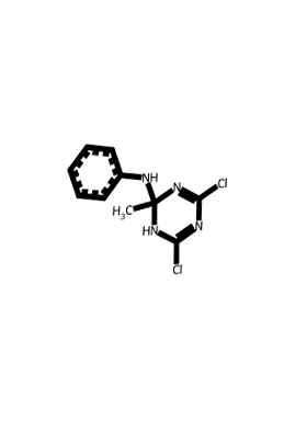 CC1(Nc2ccccc2)N=C(Cl)N=C(Cl)N1